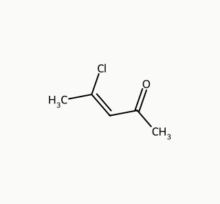 CC(=O)/C=C(/C)Cl